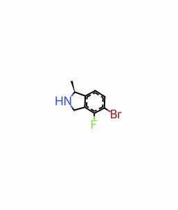 C[C@@H]1NCc2c1ccc(Br)c2F